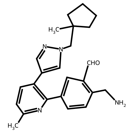 Cc1ccc(-c2cnn(CC3(C)CCCC3)c2)c(-c2ccc(CN)c(C=O)c2)n1